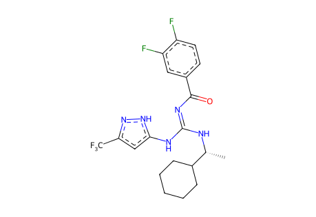 C[C@@H](N/C(=N\C(=O)c1ccc(F)c(F)c1)Nc1cc(C(F)(F)F)n[nH]1)C1CCCCC1